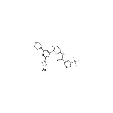 Cc1ncc(NC(=O)c2ccnc(C(C)(F)F)c2)cc1-c1cc(N2CCOCC2)nc(N2CC(O)C2)c1